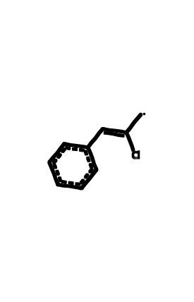 [CH2]C(Cl)=Cc1ccccc1